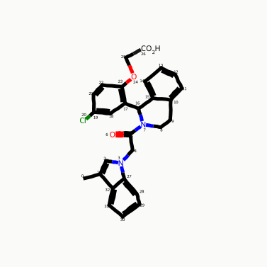 Cc1cn(CC(=O)N2CCc3ccccc3C2c2cc(Cl)ccc2OCC(=O)O)c2ccccc12